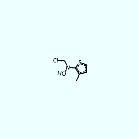 Cc1ccsc1N(O)CCl